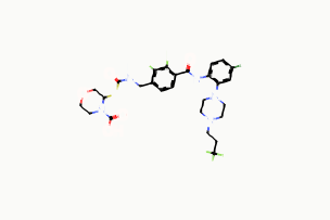 O=C(NCc1ccc(C(=O)Nc2ccc(Cl)cc2N2CCN(CCC(F)(F)F)CC2)c(F)c1F)SC1COCCN1C(=O)O